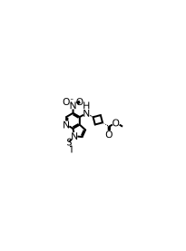 COC(=O)[C@H]1C[C@@H](Nc2c([N+](=O)[O-])cnc3c2ccn3SI)C1